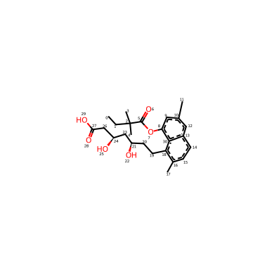 CCC(C)(C)C(=O)Oc1cc(C)cc2ccc(C)c(CC[C@@H](O)C[C@@H](O)CC(=O)O)c12